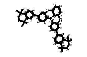 CC1(C)CCC(C)(C)c2cc(-c3ccc4c(c3)Oc3cccc5c3B4c3ccc(-c4ccc6c(c4)C(C)(C)CCC6(C)C)cc3O5)ccc21